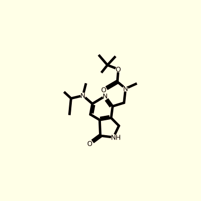 CC(C)N(C)c1cc2c(c(CN(C)C(=O)OC(C)(C)C)n1)CNC2=O